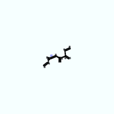 C=C/N=C\NC(=C)C=C